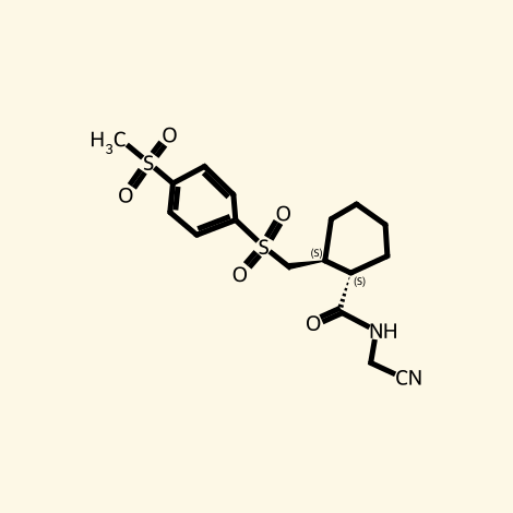 CS(=O)(=O)c1ccc(S(=O)(=O)C[C@H]2CCCC[C@@H]2C(=O)NCC#N)cc1